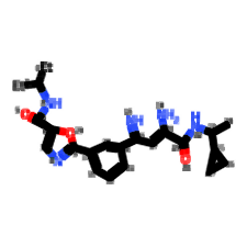 CCC(CC)NC(=O)c1cnc(-c2cccc(C(=N)/C=C(\N)C(=O)NC(C)C3CC3)c2)o1